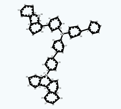 c1ccc(-c2ccc(N(c3ccc(-c4ccc(-n5c6ccccc6c6c7ccccc7ccc65)cc4)cc3)c3cccc(-c4cccc5c4oc4ccccc45)c3)cc2)cc1